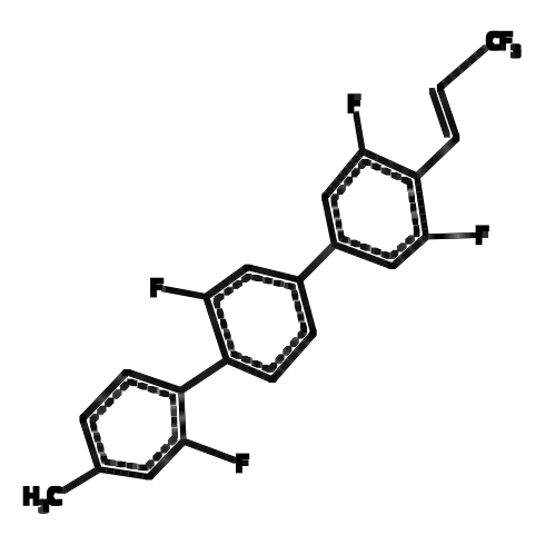 Cc1ccc(-c2ccc(-c3cc(F)c(/C=C/C(F)(F)F)c(F)c3)cc2F)c(F)c1